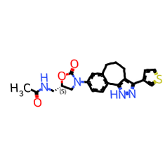 CC(=O)NC[C@H]1CN(c2ccc3c(c2)CCCc2c(-c4ccsc4)n[nH]c2-3)C(=O)O1